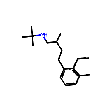 CCc1c(C)cccc1CCC(C)CNC(C)(C)C